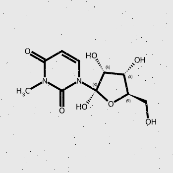 Cn1c(=O)ccn([C@]2(O)O[C@H](CO)[C@@H](O)[C@H]2O)c1=O